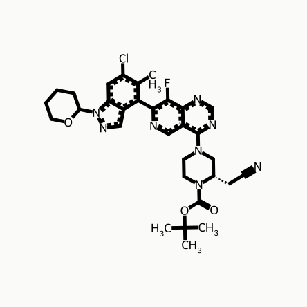 Cc1c(Cl)cc2c(cnn2C2CCCCO2)c1-c1ncc2c(N3CCN(C(=O)OC(C)(C)C)[C@@H](CC#N)C3)ncnc2c1F